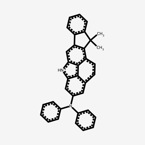 CC1(C)c2ccccc2-c2cc3[nH]c4cc(N(c5ccccc5)c5ccccc5)cc5ccc(c21)c3c54